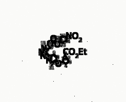 CCOC(=O)C1C2CCC(Oc3ccc(-c4nnn(C)c4COC(=O)Oc4ccc([N+](=O)[O-])cc4)nc3C)C21